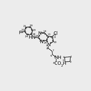 C1CCC1.O=C(O)NCCCn1cc(Cl)c2cnc(Nc3cccc(F)c3)nc21